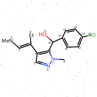 CC/C(=C\NC)c1cnn(C)c1C(O)c1ccc(Cl)cc1